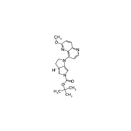 COc1ccc2nccc(N3CC[C@@H]4CN(C(=O)OC(C)(C)C)C=C43)c2n1